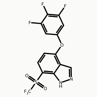 O=S(=O)(c1ccc(Oc2cc(F)c(F)c(F)c2)c2cn[nH]c12)C(F)(F)F